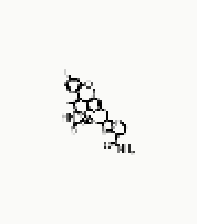 C/C(=C1/c2ccc(Cc3c(C4CC4)nc4c(C(N)=O)cccn34)cc2COc2cc(F)ccc21)c1noc(=O)[nH]1